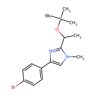 CC(O[Si](C)(C)C(C)(C)C)c1nc(-c2ccc(Br)cc2)cn1C